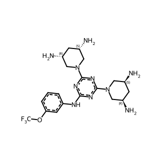 N[C@@H]1C[C@H](N)CN(c2nc(Nc3cccc(OC(F)(F)F)c3)nc(N3C[C@H](N)C[C@H](N)C3)n2)C1